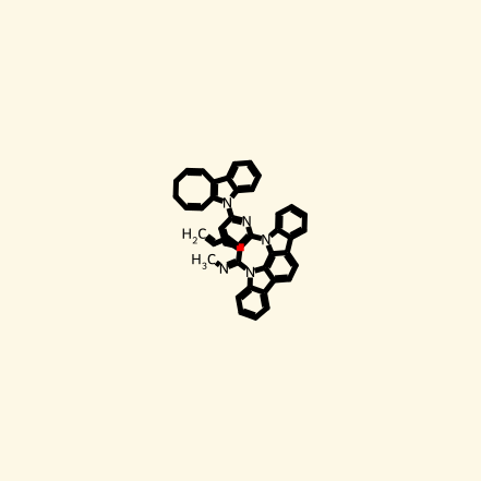 C=C/C=C\C(=N/C)n1c2ccccc2c2ccc3c4ccccc4n(-c4cccc(-n5c6c(c7ccccc75)/C=C\CC/C=C\6)n4)c3c21